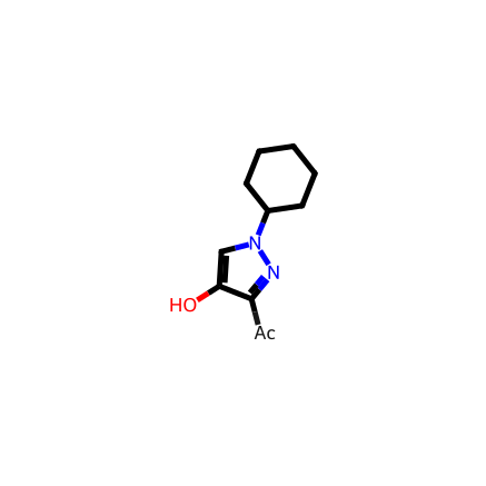 CC(=O)c1nn(C2CCCCC2)cc1O